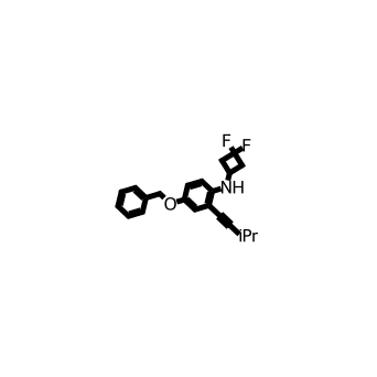 CC(C)C#Cc1cc(OCc2ccccc2)ccc1NC1CC(F)(F)C1